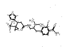 CN(C)C(CNC(=O)CC(c1ccoc1)C1(C(F)(F)F)CC1)Cc1ccc(C(N)=O)c(F)c1